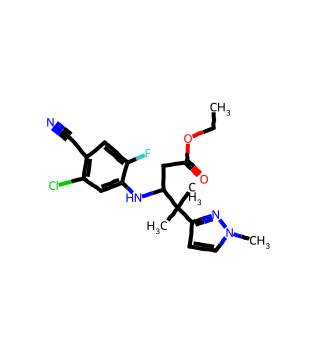 CCOC(=O)CC(Nc1cc(Cl)c(C#N)cc1F)C(C)(C)c1ccn(C)n1